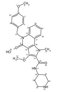 COc1ccc(Cn2c(=O)c3c(OC)c(C(=O)NC4CCNCC4)n(C)c3c3ccccc32)cc1.Cl